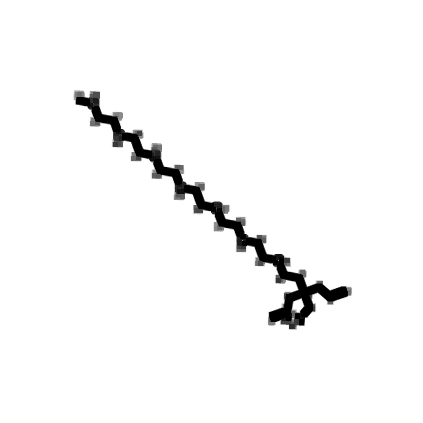 C=CCC(CN)(CC=C)CCOCCOCCOCCOCCOCCOCCOC